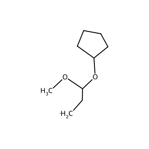 [CH2]CC(OC)OC1CCCC1